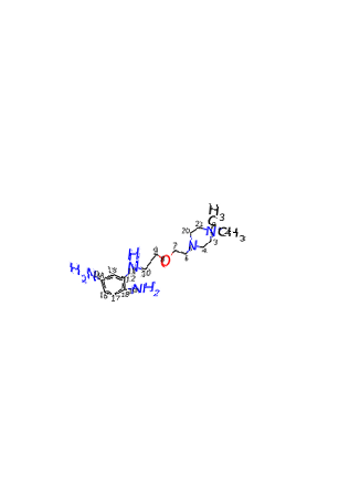 C[N+]1(C)CCN(CCOCCNc2cc(N)ccc2N)CC1